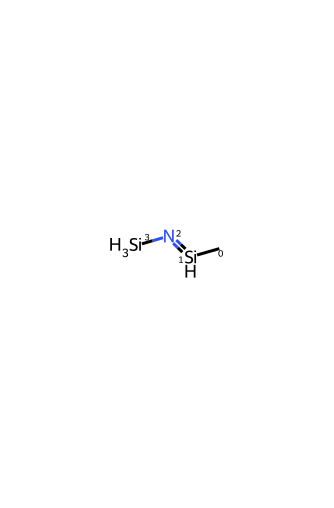 C[SiH]=N[SiH3]